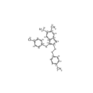 Cc1ccc(CCc2nc3cc(C)c(C)cc3n2Cc2ccc(Cl)cc2)cc1